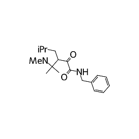 CNC(C)(C)C(CC(C)C)C(=O)C(=O)NCc1ccccc1